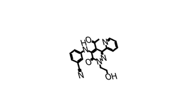 CC(=O)c1c(-c2ccccn2)nn(CCO)c(=O)c1Nc1cccc(C#N)c1